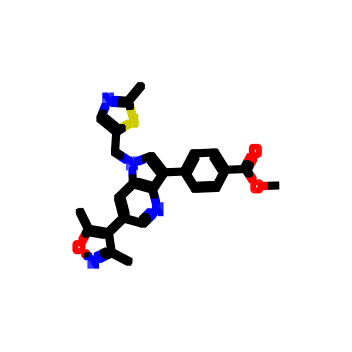 COC(=O)c1ccc(-c2cn(Cc3cnc(C)s3)c3cc(-c4c(C)noc4C)cnc23)cc1